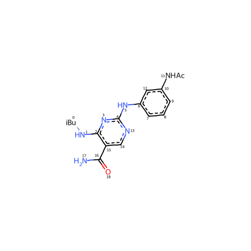 CC[C@@H](C)Nc1nc(Nc2cccc(NC(C)=O)c2)ncc1C(N)=O